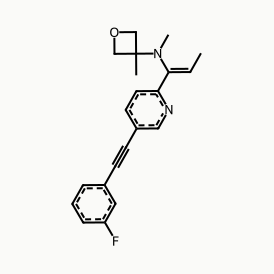 CC=C(c1ccc(C#Cc2cccc(F)c2)cn1)N(C)C1(C)COC1